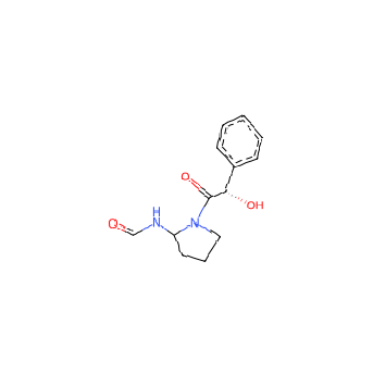 O=CNC1CCCN1C(=O)[C@@H](O)c1ccccc1